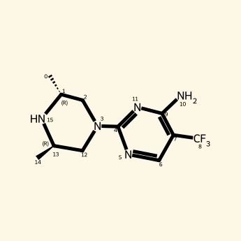 C[C@@H]1CN(c2ncc(C(F)(F)F)c(N)n2)C[C@@H](C)N1